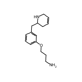 NCCCOc1cccc(CC2CC=CCN2)c1